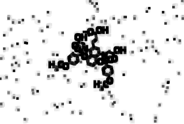 COc1ccc(S(=O)(=O)N(CC(=O)O)c2cc(/C=C/C(=O)O)c(N(CC(=O)O)S(=O)(=O)c3ccc(OC)cc3)c3ccccc23)cc1